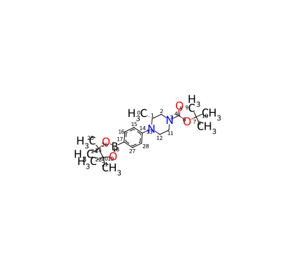 C[C@@H]1CN(C(=O)OC(C)(C)C)CCN1c1ccc(B2OC(C)(C)C(C)(C)O2)cc1